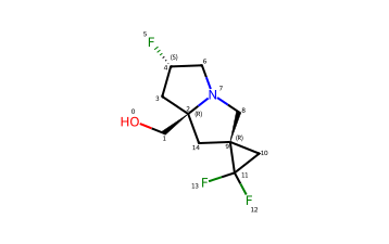 OC[C@@]12C[C@H](F)CN1C[C@]1(CC1(F)F)C2